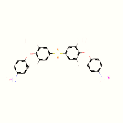 Cc1cc(S(=O)(=O)c2cc(C)c(Oc3ccc([N+](=O)[O-])cc3)c(C)c2)cc(C)c1Oc1ccc([N+](=O)[O-])cc1